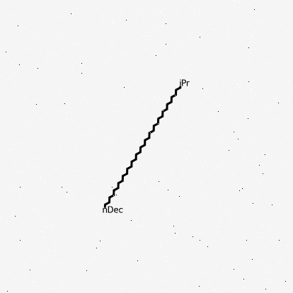 [CH2]CCCCCCCCCCCCCCCCCCCCCCCCCCCCCCCCCCCCCCCCCCCC(C)C